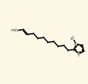 CCCCCCCCC=CCCCCCCCCc1nccn1CC